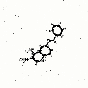 Nc1c([N+](=O)[O-])cnc2ccc(OCc3ccccc3)cc12